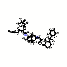 CC#CC[C@H](C)[C@@H](/C=C/[C@@H]1[C@H]2C/C(=C/C(=O)OC3CCCCC3C(C)(C)c3ccccc3)C[C@H]2C[C@H]1C)O[Si](C)(C)C(C)(C)C